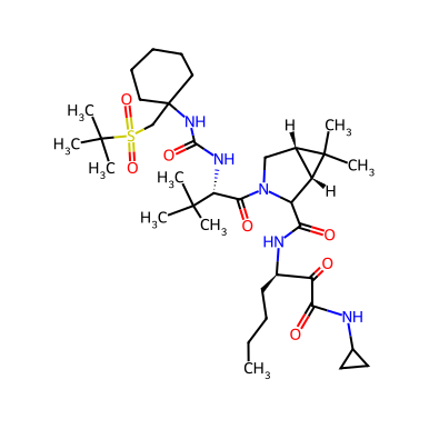 CCCC[C@@H](NC(=O)C1[C@@H]2[C@H](CN1C(=O)[C@@H](NC(=O)NC1(CS(=O)(=O)C(C)(C)C)CCCCC1)C(C)(C)C)C2(C)C)C(=O)C(=O)NC1CC1